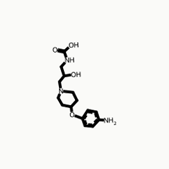 Nc1ccc(OC2CCN(CC(O)CNC(=O)O)CC2)cc1